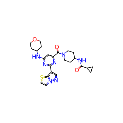 O=C(NC1CCN(C(=O)c2cc(NC3CCOCC3)nc(-c3cnn4ccsc34)n2)CC1)C1CC1